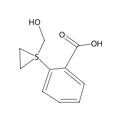 O=C(O)c1ccccc1S1(CO)CC1